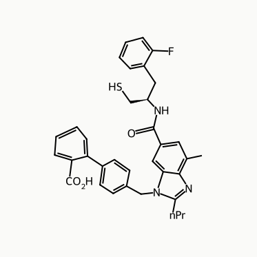 CCCc1nc2c(C)cc(C(=O)N[C@@H](CS)Cc3ccccc3F)cc2n1Cc1ccc(-c2ccccc2C(=O)O)cc1